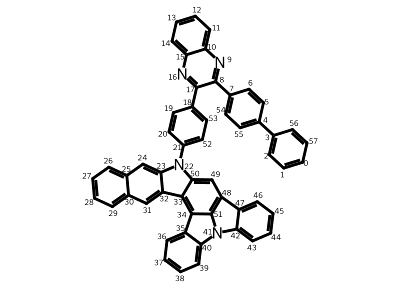 c1ccc(-c2ccc(-c3nc4ccccc4nc3-c3ccc(-n4c5cc6ccccc6cc5c5c6c7ccccc7n7c8ccccc8c(cc54)c67)cc3)cc2)cc1